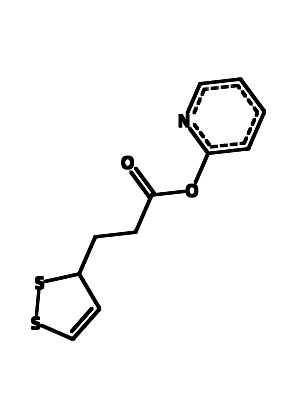 O=C(CCC1C=CSS1)Oc1ccccn1